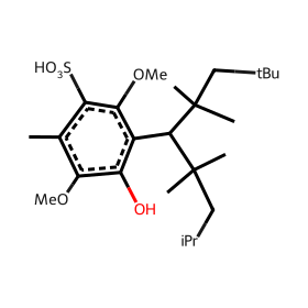 COc1c(C)c(S(=O)(=O)O)c(OC)c(C(C(C)(C)CC(C)C)C(C)(C)CC(C)(C)C)c1O